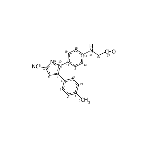 Cc1ccc(-c2cc(C#N)nn2-c2ccc(NCC=O)cc2)cc1